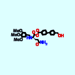 COc1cc(CN[C@@H](CCC(N)=O)C(=O)OC(=O)c2ccc(-c3ccc(CO)cc3)cc2)cc(OC)c1OC